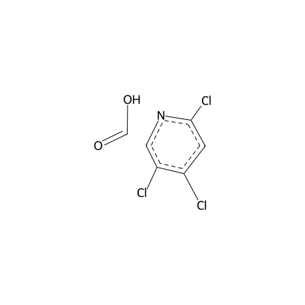 Clc1cc(Cl)c(Cl)cn1.O=CO